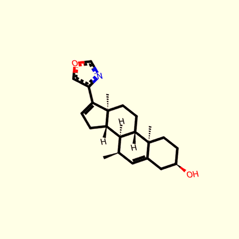 C[C@@H]1C=C2C[C@H](O)CC[C@]2(C)[C@H]2CC[C@]3(C)C(c4cocn4)=CC[C@H]3[C@H]12